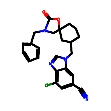 N#Cc1cc(Cl)c2ncn(CC3CCCC4(C3)CN(Cc3ccccc3)C(=O)O4)c2c1